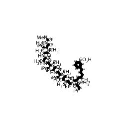 C=C(C(=O)N(C)[C@@H](CC(C)C)C(=O)N[C@H](C(=O)N(C)[C@@H](CC(C)C)C(=O)N[C@H](C)C(=O)NC(C)C(=O)N(C)[C@@H](CC(C)C)C(=O)N(C)C(=O)NC)C(C)C)N(C)C(=O)[C@H](CC)NC(=O)C(C[C@H](C)CCCc1cccc(C(=O)O)c1)N(C)C(=O)CC(C)C